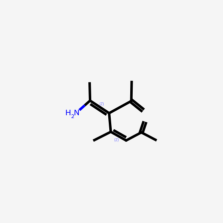 C=C(C)/C=C(C)\C(C(=C)C)=C(\C)N